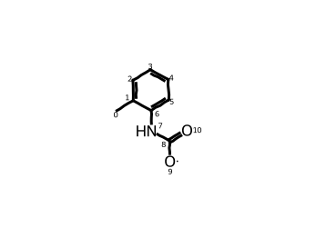 Cc1ccccc1NC([O])=O